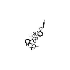 CC#CCOc1cccc(S(=O)(=O)NC(=O)c2cccnc2N2CC(C)CC2(C)C)n1